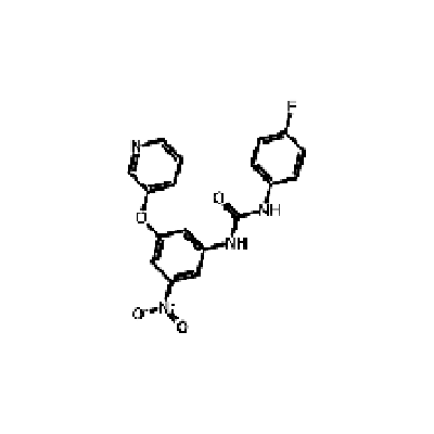 O=C(Nc1ccc(F)cc1)Nc1cc(Oc2cccnc2)cc([N+](=O)[O-])c1